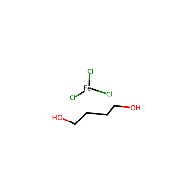 OCCCCO.[Cl][Fe]([Cl])[Cl]